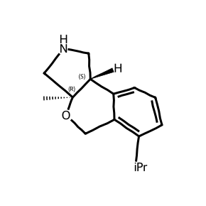 CC(C)c1cccc2c1CO[C@@]1(C)CNC[C@H]21